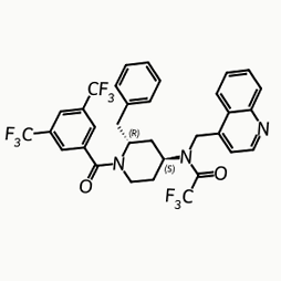 O=C(c1cc(C(F)(F)F)cc(C(F)(F)F)c1)N1CC[C@H](N(Cc2ccnc3ccccc23)C(=O)C(F)(F)F)C[C@H]1Cc1ccccc1